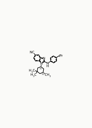 CC(C)c1ccc(Nc2nc3cc(C#N)ccc3n2[C@H]2C[C@@H](C)CC(C)(C)C2)cc1